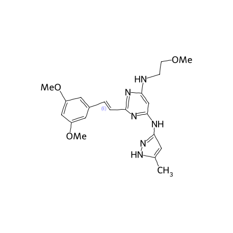 COCCNc1cc(Nc2cc(C)[nH]n2)nc(/C=C/c2cc(OC)cc(OC)c2)n1